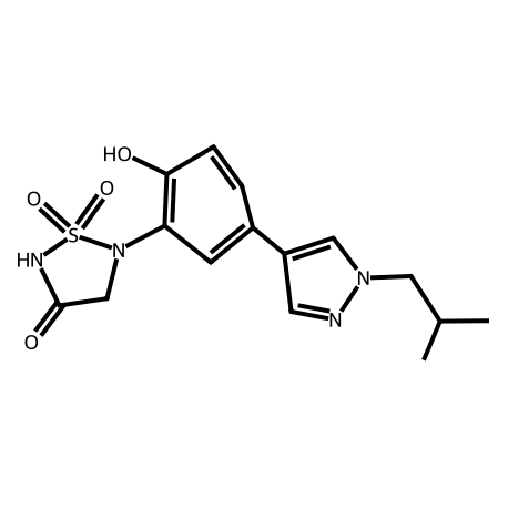 CC(C)Cn1cc(-c2ccc(O)c(N3CC(=O)NS3(=O)=O)c2)cn1